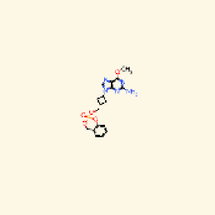 COc1nc(N)nc2c1ncn2[C@H]1C[C@@H](COP2(=O)OCc3ccccc3O2)C1